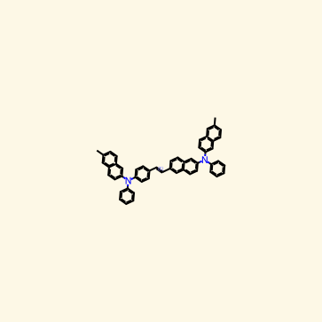 Cc1ccc2cc(N(c3ccccc3)c3ccc(/C=C/c4ccc5cc(N(c6ccccc6)c6ccc7cc(C)ccc7c6)ccc5c4)cc3)ccc2c1